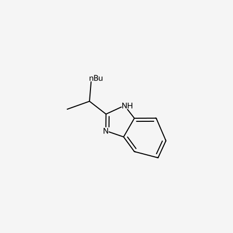 CCCCC(C)c1nc2ccccc2[nH]1